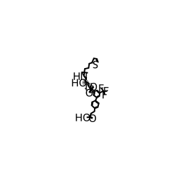 CN(C[C@H](O)CNC(C)(C)CCCC1CC=CS1)S(=O)(=O)c1cc(-c2ccc(CCC(=O)O)cc2)cc(C(F)(F)F)c1